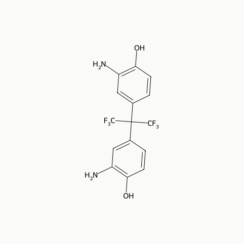 Nc1cc(C(c2ccc(O)c(N)c2)(C(F)(F)F)C(F)(F)F)ccc1O